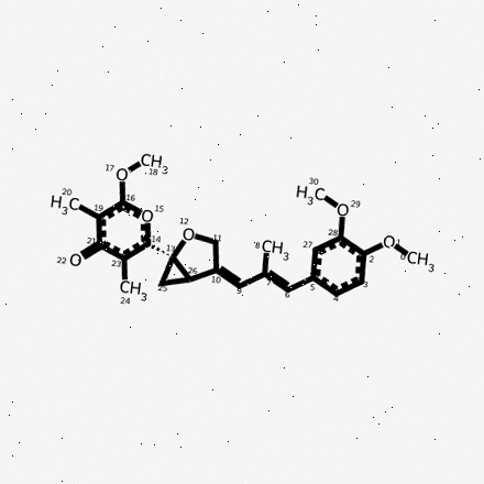 COc1ccc(/C=C(C)/C=C2\CO[C@]3(c4oc(OC)c(C)c(=O)c4C)CC23)cc1OC